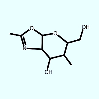 CC1=NC2C(O1)OC(CO)C(C)C2O